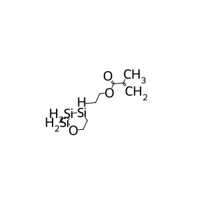 C=C(C)C(=O)OCCC[SiH]1CCO[SiH2][SiH2]1